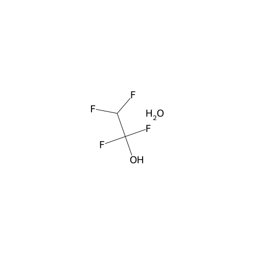 O.OC(F)(F)C(F)F